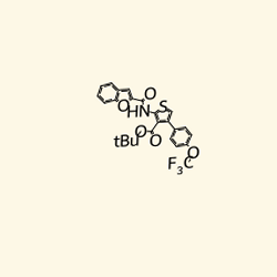 CC(C)(C)OC(=O)c1c(-c2ccc(OC(F)(F)F)cc2)csc1NC(=O)c1cc2ccccc2o1